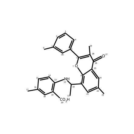 Cc1cccc(-c2oc3c(C(C)Nc4ccc(C)cc4C(=O)O)cc(C)cc3c(=O)c2C)c1